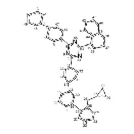 c1ccc(-c2ccc(-c3nc(-c4ccc(-c5cccc(-c6cnccc6CC6CC6)c5)cc4)nc(-c4cccc5ccccc45)n3)cc2)cc1